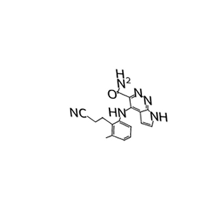 Cc1cccc(Nc2c(C(N)=O)nnc3[nH]ccc23)c1CCC#N